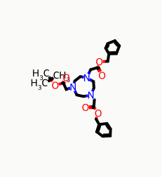 CC(C)(C)OC(=O)CN1CCN(CC(=O)OCc2ccccc2)CCN(CC(=O)OCc2ccccc2)CC1